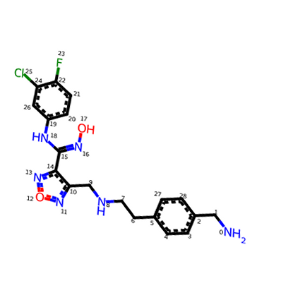 NCc1ccc(CCNCc2nonc2C(=NO)Nc2ccc(F)c(Cl)c2)cc1